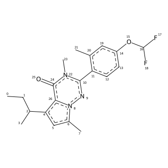 CCC(C)c1cc(C)n2nc(-c3ccc(OC(F)F)cc3C)n(C)c(=O)c12